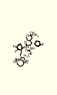 COC(=O)N[C@H](C(=O)Nc1ccc(F)c(F)c1CC[C@H]1CN[C@@H]2CCCS(=O)(=O)N1C2)[C@@H](c1ccc(F)cc1)C1CCOC(C)(C)C1